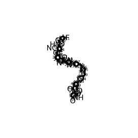 N#Cc1c(NS(=O)(=O)N2CC[C@@H](F)C2)ccc(F)c1Oc1ccc2ncn(-c3cnc(N4CCC(CN5CCN(CC6CCN(c7ccc8c(c7)C(=O)N(C7CCC(=O)NC7=O)C8=O)CC6)CC5)CC4)nc3)c(=O)c2c1